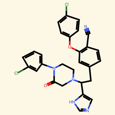 N#Cc1ccc(CC(c2cnc[nH]2)N2CCN(c3cccc(Cl)c3)C(=O)C2)cc1Oc1ccc(Cl)cc1